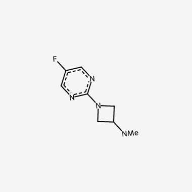 CNC1CN(c2ncc(F)cn2)C1